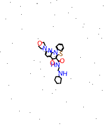 O=C(NCCNC1CCCCC1)c1c(=O)c2ccc(N3CCOCC3)nc2n2c1sc1ccccc12